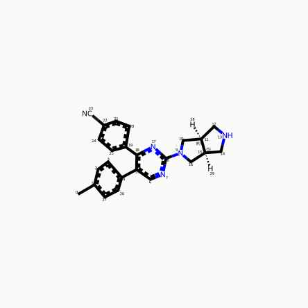 Cc1ccc(-c2cnc(N3C[C@H]4CNC[C@H]4C3)nc2-c2ccc(C#N)cc2)cc1